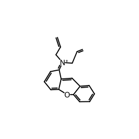 C=CC[N+](CC=C)=c1cccc2oc3ccccc3cc1-2